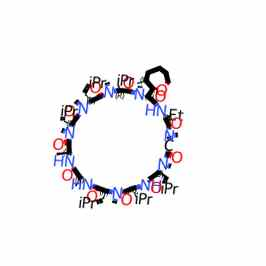 CC[C@H]1NC(=O)[C@@H]([C@@H]2OCCCC[C@H]2C)N(C)C(=O)[C@@H](C(C)C)N(C)C(=O)[C@@H](CC(C)C)N(C)C(=O)[C@@H](CC(C)C)N(C)C(=O)[C@H](C)NC(=O)[C@@H](C)NC(=O)[C@@H](CC(C)C)N(C)C(=O)[C@@H](C(C)C)NC(=O)[C@H](CC(C)C)N(C)C(=O)CN(C)C1=O